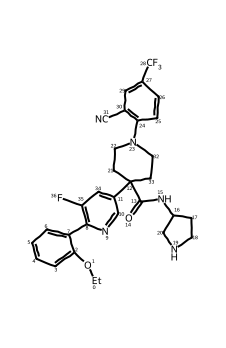 CCOc1ccccc1-c1ncc(C2(C(=O)NC3CCNC3)CCN(c3ccc(C(F)(F)F)cc3C#N)CC2)cc1F